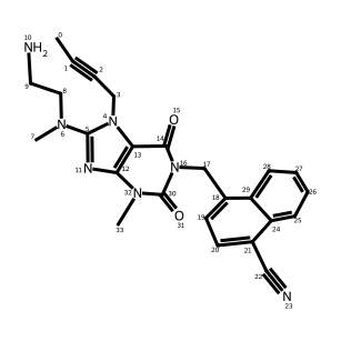 CC#CCn1c(N(C)CCN)nc2c1c(=O)n(Cc1ccc(C#N)c3ccccc13)c(=O)n2C